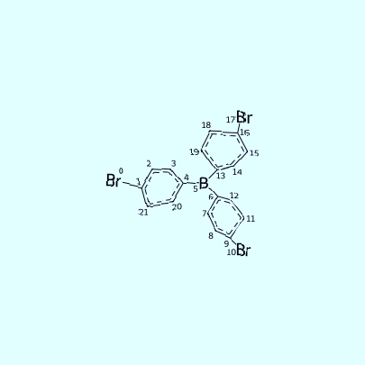 Brc1ccc(B(c2ccc(Br)cc2)c2ccc(Br)cc2)cc1